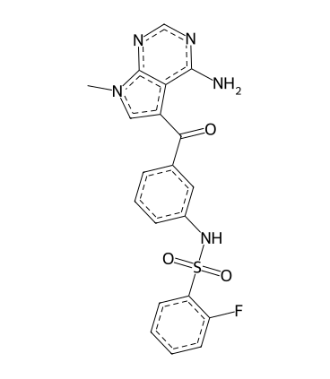 Cn1cc(C(=O)c2cccc(NS(=O)(=O)c3ccccc3F)c2)c2c(N)ncnc21